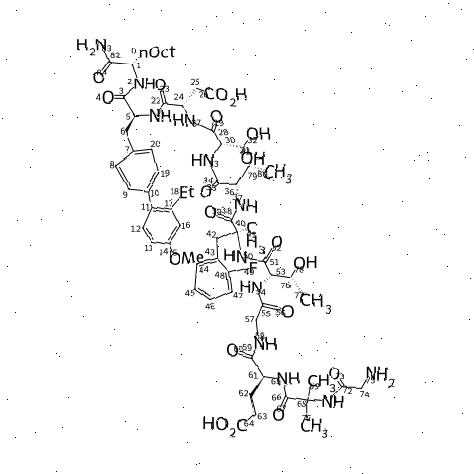 CCCCCCCC[C@H](NC(=O)[C@H](Cc1ccc(-c2ccc(OC)cc2CC)cc1)NC(=O)[C@H](CC(=O)O)NC(=O)[C@H](CO)NC(=O)[C@@H](NC(=O)[C@](C)(Cc1ccccc1F)NC(=O)[C@@H](NC(=O)CNC(=O)[C@H](CCC(=O)O)NC(=O)C(C)(C)NC(=O)CN)[C@@H](C)O)[C@@H](C)O)C(N)=O